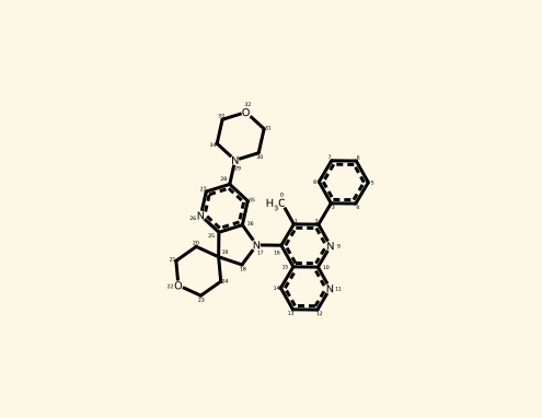 Cc1c(-c2ccccc2)nc2ncccc2c1N1CC2(CCOCC2)c2ncc(N3CCOCC3)cc21